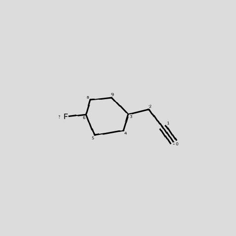 [C]#CCC1CCC(F)CC1